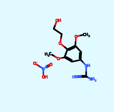 COc1cc(NC(=N)N)cc(OC)c1OCCO.O=[N+]([O-])O